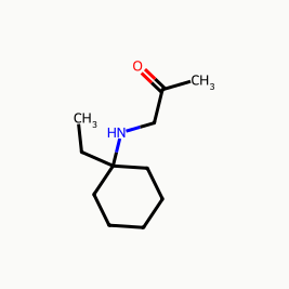 CCC1(NCC(C)=O)CCCCC1